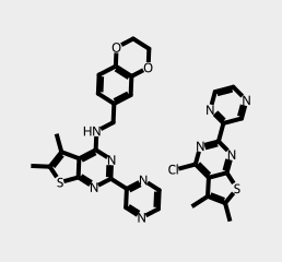 Cc1sc2nc(-c3cnccn3)nc(Cl)c2c1C.Cc1sc2nc(-c3cnccn3)nc(NCc3ccc4c(c3)OCCO4)c2c1C